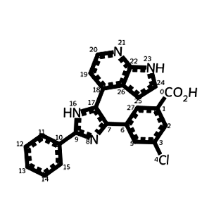 O=C(O)c1cc(Cl)cc(-c2nc(-c3ccccc3)[nH]c2-c2ccnc3[nH]ccc23)c1